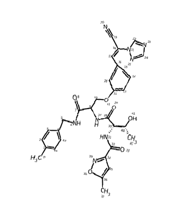 Cc1ccc(CNC(=O)C(COc2cccc(C=C(C#N)n3cncn3)c2)NC(=O)[C@@H](NC(=O)c2cc(C)on2)[C@@H](C)O)cc1